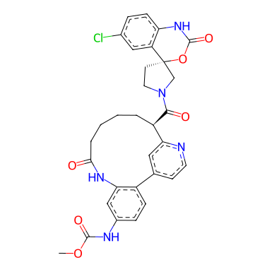 COC(=O)Nc1ccc2c(c1)NC(=O)CCCC[C@@H](C(=O)N1CC[C@@]3(C1)OC(=O)Nc1ccc(Cl)cc13)c1cc-2ccn1